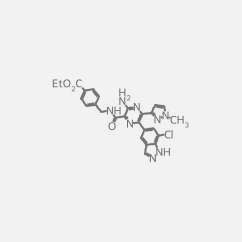 CCOC(=O)c1ccc(CNC(=O)c2nc(-c3cc(Cl)c4[nH]ncc4c3)c(-c3ccn(C)n3)nc2N)cc1